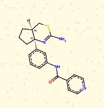 NC1=N[C@@]2(c3cccc(NC(=O)c4ccncc4)c3)CCC[C@H]2CS1